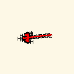 CC(=O)CCOCCOCCOCCOCCOCCOCCOCCOCCOCCOCCOCCOCCNC(=O)[C@H](OCCCCOS(=O)(=O)O)[C@@H](OCCCCOS(=O)(=O)O)[C@H](OCCCCOS(=O)(=O)O)[C@@H](COCCCCOS(=O)(=O)O)OCCCCOS(=O)(=O)O